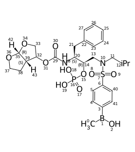 CB(O)c1ccc(S(=O)(=O)N(CC(C)C)C[C@@H](OP(=O)(O)O)[C@H](Cc2ccccc2)NC(=O)OC2CO[C@H]3OCC[C@@H]23)cc1